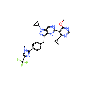 COc1ncnc(C2CC2)c1-c1ncc2c(n1)c(Cc1ccc(-c3nc(C(F)(F)F)cn3C)cc1)nn2C1CC1